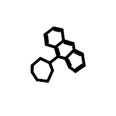 c1ccc2c([C]3CCCCCC3)c3ccccc3cc2c1